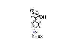 CCCCCC/C=C/c1ccc(C2=CC(=O)OC2O)cc1